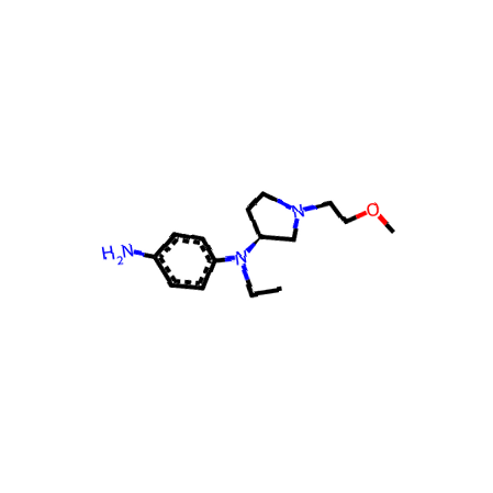 CCN(c1ccc(N)cc1)[C@H]1CCN(CCOC)C1